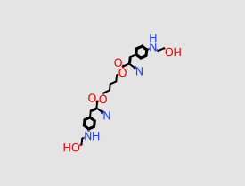 N#C/C(=C\c1ccc(NCCO)cc1)C(=O)OCCCCCOC(=O)/C(C#N)=C/c1ccc(NCCO)cc1